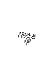 NC(OC(=O)C(F)(F)F)c1cc(-c2cccnc2)nc(C(F)(F)F)c1